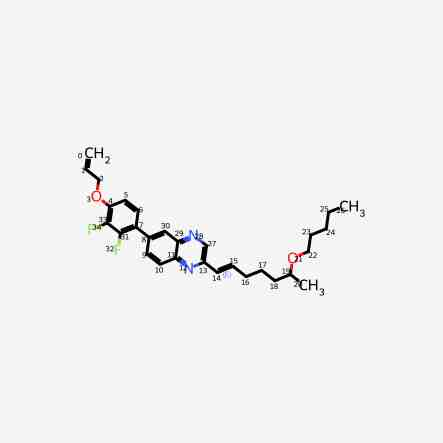 C=CCOc1ccc(-c2ccc3nc(/C=C/CCCC(C)OCCCCC)cnc3c2)c(F)c1F